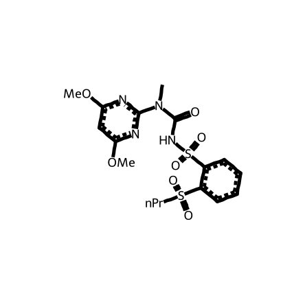 CCCS(=O)(=O)c1ccccc1S(=O)(=O)NC(=O)N(C)c1nc(OC)cc(OC)n1